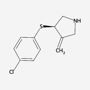 C=C1CNC[C@@H]1Sc1ccc(Cl)cc1